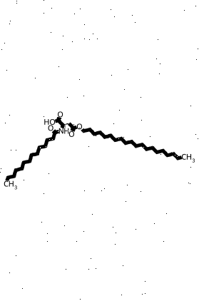 CCCCCCCCCCCCCCCCCCCCOC(=O)C[C@H](NC(=O)CCCCCCCCCCCCC)C(=O)O